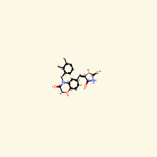 Cc1cccc(CN2C(=O)COc3ccc(C=C4SC(=S)NC4=O)cc32)c1C